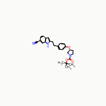 CC(C)(C)OC(=O)N1CC[C@H](Oc2ccc(CCc3cc4ccc(C#N)cc4[nH]3)cc2)C1